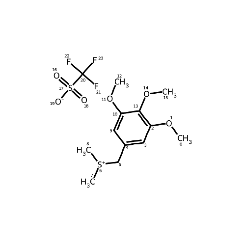 COc1cc(C[S+](C)C)cc(OC)c1OC.O=S(=O)([O-])C(F)(F)F